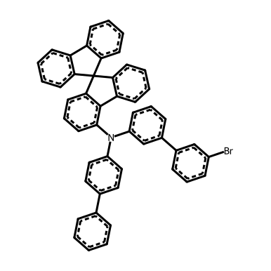 Brc1cccc(-c2cccc(N(c3ccc(-c4ccccc4)cc3)c3cccc4c3-c3ccccc3C43c4ccccc4-c4ccccc43)c2)c1